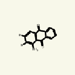 Nc1c(Br)c(Br)cc2c1C(=O)c1ccccc1C2=O